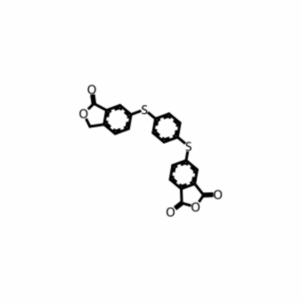 O=C1OCc2ccc(Sc3ccc(Sc4ccc5c(c4)C(=O)OC5=O)cc3)cc21